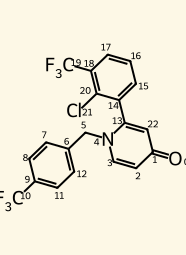 O=c1ccn(Cc2ccc(C(F)(F)F)cc2)c(-c2cccc(C(F)(F)F)c2Cl)c1